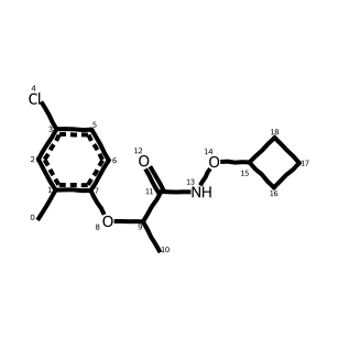 Cc1cc(Cl)ccc1OC(C)C(=O)NOC1CCC1